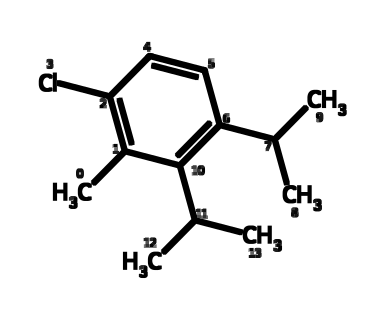 Cc1c(Cl)ccc(C(C)C)c1C(C)C